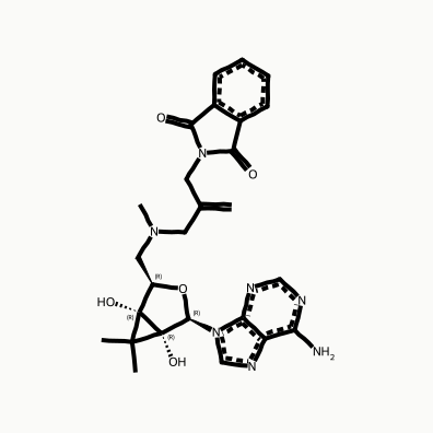 C=C(CN(C)C[C@H]1O[C@@H](n2cnc3c(N)ncnc32)[C@@]2(O)C(C)(C)[C@@]12O)CN1C(=O)c2ccccc2C1=O